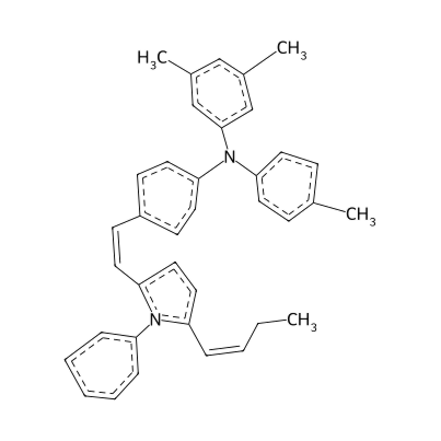 CC/C=C\c1ccc(/C=C\c2ccc(N(c3ccc(C)cc3)c3cc(C)cc(C)c3)cc2)n1-c1ccccc1